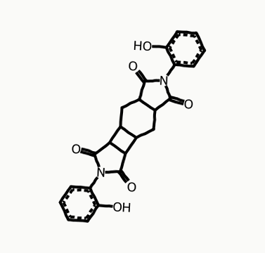 O=C1C2CC3C(CC2C(=O)N1c1ccccc1O)C1C(=O)N(c2ccccc2O)C(=O)C31